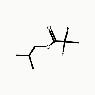 CC(C)COC(=O)C(C)(F)F